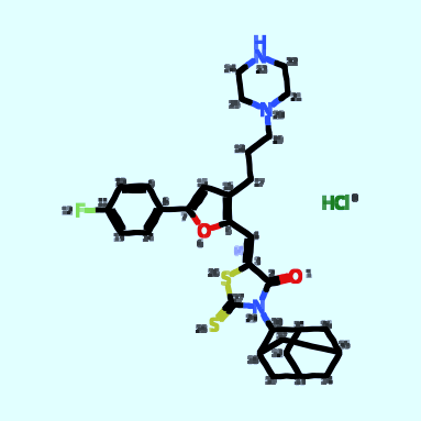 Cl.O=C1/C(=C/c2oc(-c3ccc(F)cc3)cc2CCCN2CCNCC2)SC(=S)N1C1C2CC3CC(C2)CC1C3